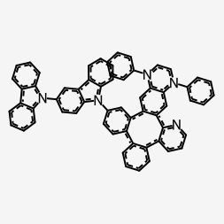 c1ccc(-n2ccn(-c3ccccc3)c3cc4c(cc32)c2cc(-n3c5ccccc5c5cc(-n6c7ccccc7c7ccccc76)ccc53)ccc2c2ccccc2c2cccnc24)cc1